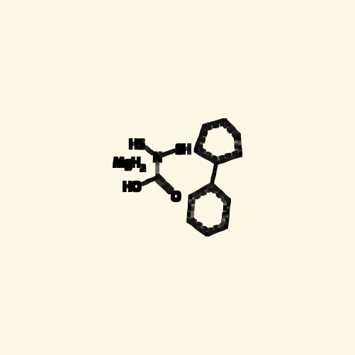 O=C(O)N(S)S.[MgH2].c1ccc(-c2ccccc2)cc1